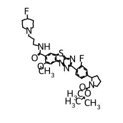 COc1cc2c(cc1C(=O)NCCCN1CCC(F)CC1)sc1nc(-c3ccc(C4CCCN4C(=O)OC(C)(C)C)cc3F)nn12